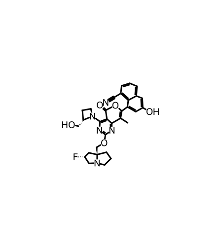 Cc1c(-c2cc(O)cc3cccc(C#N)c23)oc(=O)c2c(N3CC[C@H]3CO)nc(OC[C@@]34CCCN3C[C@H](F)C4)nc12